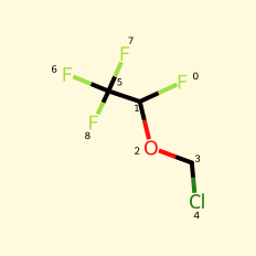 FC(OCCl)C(F)(F)F